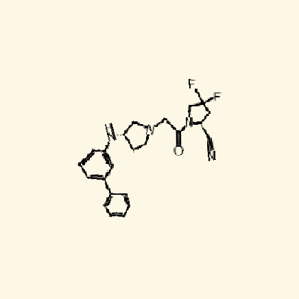 N#C[C@@H]1CC(F)(F)CN1C(=O)CN1CC[C@H](Nc2cccc(-c3ccccc3)c2)C1